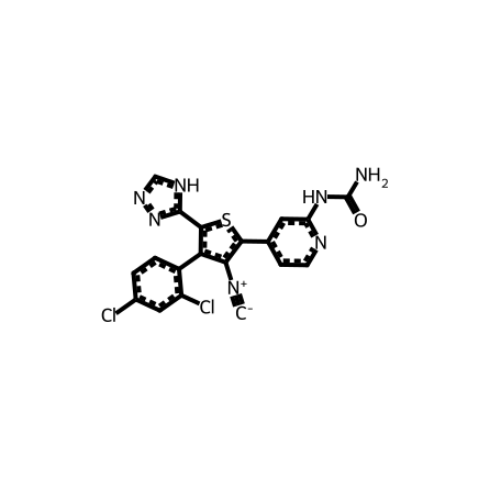 [C-]#[N+]c1c(-c2ccnc(NC(N)=O)c2)sc(-c2nnc[nH]2)c1-c1ccc(Cl)cc1Cl